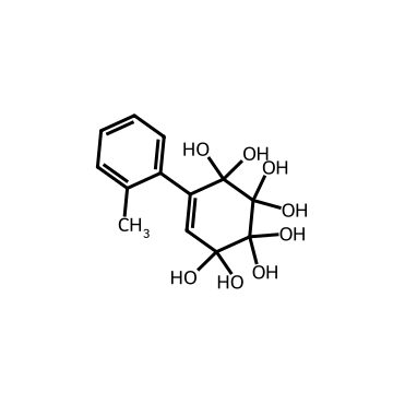 Cc1ccccc1C1=CC(O)(O)C(O)(O)C(O)(O)C1(O)O